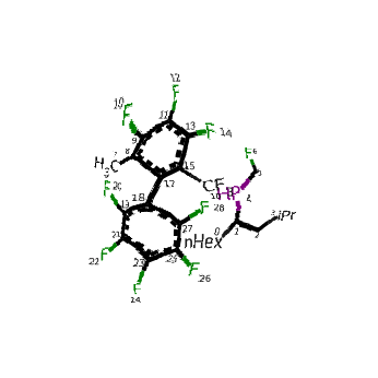 CCCCCCC(CC(C)C)PCF.Cc1c(F)c(F)c(F)c(C(F)(F)F)c1-c1c(F)c(F)c(F)c(F)c1F